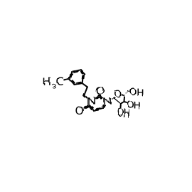 Cc1cccc(CCn2c(=O)ccn([C@@H]3O[C@H](CO)C(O)C3O)c2=O)c1